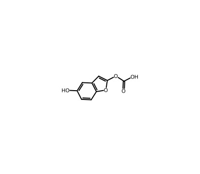 O=C(O)Oc1cc2cc(O)ccc2o1